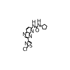 O=C(Nc1ccc2ncc(-c3csc(Cl)n3)nc2n1)NC1CCCC1